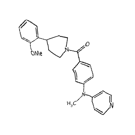 COc1ccccc1C1CCN(C(=O)c2ccc(N(C)c3ccncc3)cc2)CC1